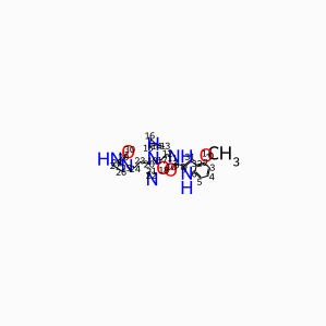 COc1cccc2[nH]c(C(=O)N[C@@H](CC3CC3)C(=O)N[C@H](C#N)CCN3CCNC3=O)cc12